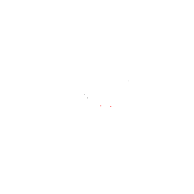 c1ccc(-c2ccc(N(c3ccc(-c4sc(-c5ccccc5)c5c4Oc4ccccc4O5)cc3)c3ccc4c(c3)C(c3ccccc3)(c3ccccc3)c3ccccc3-4)c(-c3ccccc3)c2)cc1